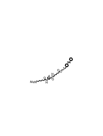 CNCCCCCCC(=O)Nc1cc(C(=O)NCCCCCC(=O)OCCSCc2ccc(N=Nc3ccccc3)cc2)n(C)c1